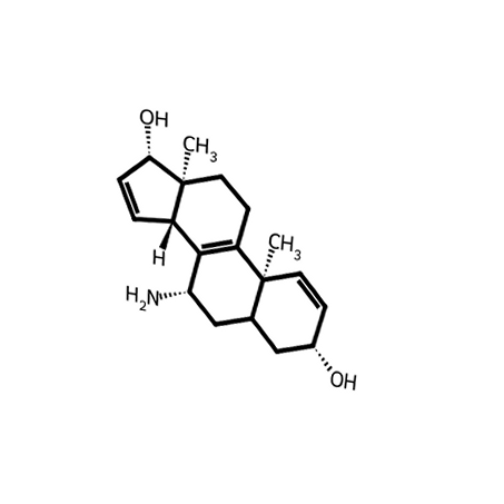 C[C@]12CCC3=C([C@@H](N)CC4C[C@@H](O)C=C[C@]34C)[C@@H]1C=C[C@@H]2O